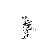 CCC(F)COc1ccc(OCC(F)CC)c(S(F)(F)(F)(F)F)c1C